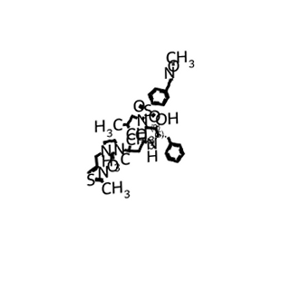 CON=Cc1ccc(S(=O)(=O)N(CC(C)C)C[C@@H](O)[C@H](Cc2ccccc2)NC(=O)CC(C)(C)N2CCN(Cc3csc(C)n3)C2=O)cc1